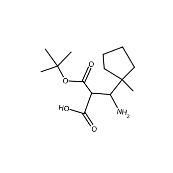 CC(C)(C)OC(=O)C(C(=O)O)C(N)C1(C)CCCC1